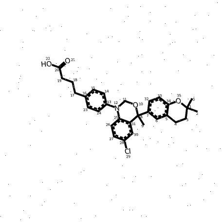 CC1(C)CCc2cc(C3(C)OCN(c4ccc(CCCC(=O)O)cc4)c4ccc(Cl)cc43)ccc2O1